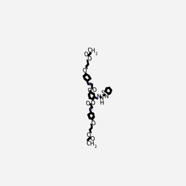 C=CC(=O)OCCCCOc1ccc(/C=C/C(=O)Oc2ccc(OC(=O)/C=C/c3ccc(OCCCCOC(=O)C=C)cc3)c(/C=N/Nc3nc4ccccc4s3)c2)cc1